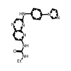 CCNC(=O)Nc1ccc2ncc(Nc3ccc(-n4ccnc4)cc3)nc2n1